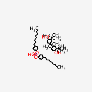 CC(C)(C)c1cc(C(C)(C)c2ccc(O)c(C(C)(C)C)c2)ccc1O.CCCCCCCCCc1ccc(OP(O)Oc2ccc(CCCCCCCCC)cc2)cc1